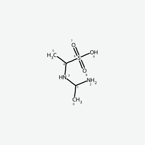 CC(N)NC(C)S(=O)(=O)O